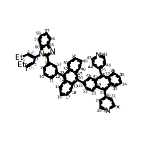 CC/C=C\C(=C/CC)n1c(-c2cccc(-c3c4ccccc4c(-c4ccc5c(-c6ccncc6)c6ccccc6c(-c6ccncc6)c5c4)c4ccccc34)c2)nc2ccccc21